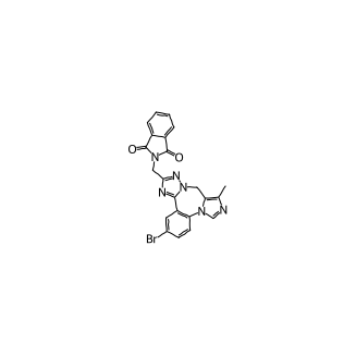 Cc1ncn2c1Cn1nc(CN3C(=O)c4ccccc4C3=O)nc1-c1cc(Br)ccc1-2